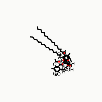 CCCCCCCCCCCCCCCC(=O)Oc1cc2c(cc1OC)[C@@]1(CS[C@@H]3c4c(OC(C)=O)c(C)c5c(c4[C@H](COC1=O)N1C3[C@H]3c4c(cc(C)c(OC)c4OC(=O)CCCCCCCCCCCCCCC)C[C@@H]([C@@H]1O)N3C)OCO5)NCC2